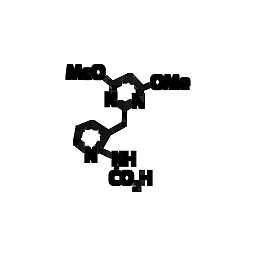 COc1cc(OC)nc(Cc2cccnc2NC(=O)O)n1